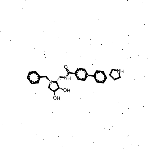 C1CCNC1.O=C(NC[C@@H]1[C@@H](O)[C@@H](O)CN1Cc1ccccc1)c1ccc(-c2ccccc2)cc1